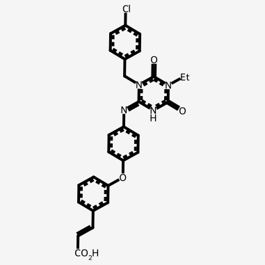 CCn1c(=O)[nH]/c(=N\c2ccc(Oc3cccc(/C=C/C(=O)O)c3)cc2)n(Cc2ccc(Cl)cc2)c1=O